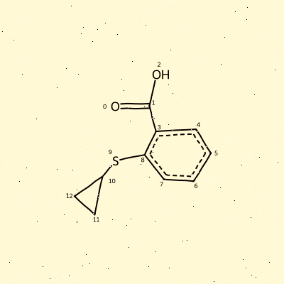 O=C(O)c1ccccc1SC1CC1